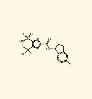 CC1(O)CNS(=O)(=O)c2sc(C(=O)NC3CCc4cc(Cl)ccc43)cc21